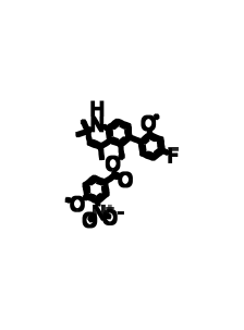 COc1cc(F)ccc1-c1ccc2c(c1COC(=O)c1ccc(OC)c([N+](=O)[O-])c1)C(C)=CC(C)(C)N2